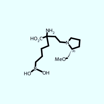 COC[C@H]1CCCN1CCC(N)(CCCCB(O)O)C(=O)O